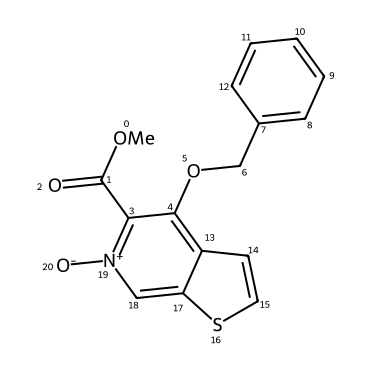 COC(=O)c1c(OCc2ccccc2)c2ccsc2c[n+]1[O-]